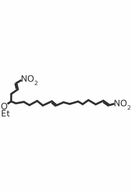 CCOC(CC=C[N+](=O)[O-])CCCCCC=CCCCCCCC=C[N+](=O)[O-]